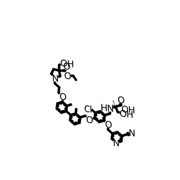 CCOC(=O)C1(CO)CCN(CCCOc2cccc(-c3cccc(COc4cc(OCc5cncc(C#N)c5)c(CN[C@](C)(CO)C(=O)O)cc4Cl)c3C)c2C)C1